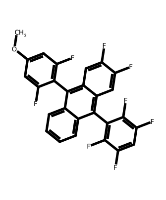 COc1cc(F)c(-c2c3ccccc3c(-c3c(F)c(F)cc(F)c3F)c3cc(F)c(F)cc23)c(F)c1